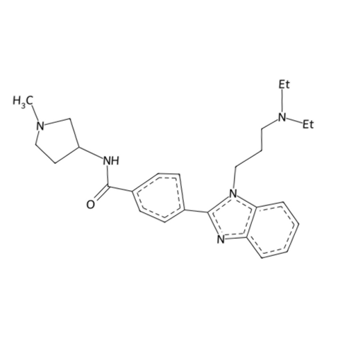 CCN(CC)CCCn1c(-c2ccc(C(=O)NC3CCN(C)C3)cc2)nc2ccccc21